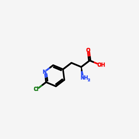 N[C@@H](Cc1ccc(Cl)nc1)C(=O)O